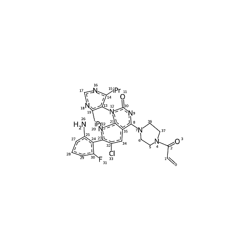 C=CC(=O)N1CCN(c2nc(=O)n(-c3c(C(C)C)ncnc3C(C)C)c3nc(-c4c(N)cccc4F)c(Cl)cc23)CC1